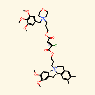 COc1ccc(C[C@@H]2c3cc(C)c(C)cc3CC[N@@+]2(C)CCCOC(=O)/C(Cl)=C/C(=O)OCCC[N+]2(Cc3cc(OC)c(OC)c(OC)c3)CCOCC2)cc1OC